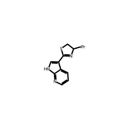 CC(C)C1CSC(c2c[nH]c3ncccc23)=N1